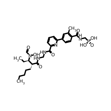 CCCCC[C@@H](C(=O)NCNC(=O)c1cccc(-c2ccc(C(=O)NCP(=O)(O)O)c(C)c2)n1)[C@@H](CC)N(O)C=O